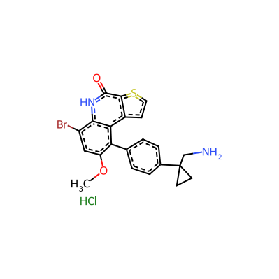 COc1cc(Br)c2[nH]c(=O)c3sccc3c2c1-c1ccc(C2(CN)CC2)cc1.Cl